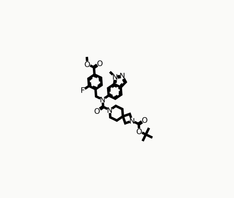 COC(=O)c1ccc(CN(C(=O)N2CCC3(CC2)CN(C(=O)OC(C)(C)C)C3)c2ccc3cnn(C)c3c2)c(F)c1